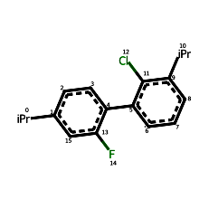 CC(C)c1ccc(-c2[c]ccc(C(C)C)c2Cl)c(F)c1